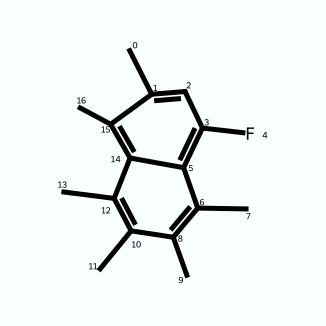 Cc1cc(F)c2c(C)c(C)c(C)c(C)c2c1C